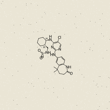 CC1(C)CCC(=O)Nc2ccc(Nc3ncc(Cl)c(N[C@@H]4CCCC[C@@H]4CN[SH](=O)=O)n3)cc21